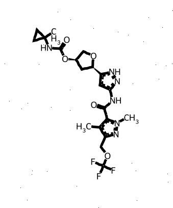 Cc1c(COC(F)(F)F)nn(C)c1C(=O)Nc1cc([C@H]2C[C@@H](OC(=O)NC3(C)CC3)CO2)[nH]n1